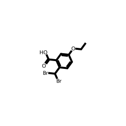 CCOc1ccc(C(Br)Br)c(C(=O)O)c1